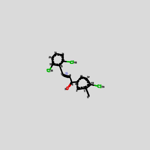 Cc1cc(C(=O)/C=C/c2c(Cl)cccc2Cl)ccc1Cl